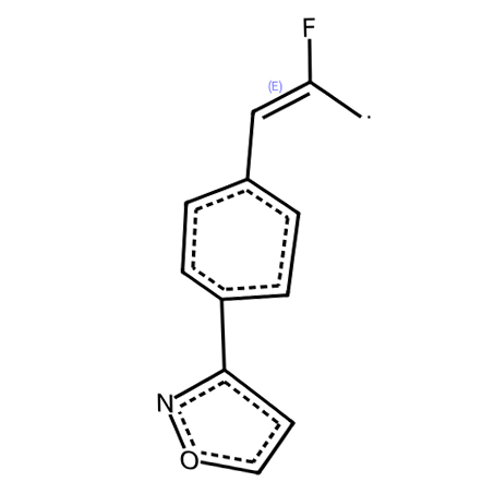 [CH2]/C(F)=C\c1ccc(-c2ccon2)cc1